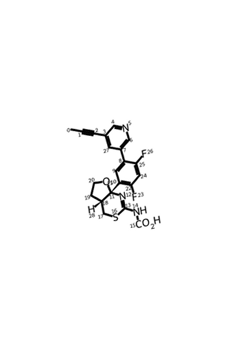 CC#Cc1cncc(-c2cc([C@@]34N=C(NC(=O)O)SC[C@@H]3CCO4)c(F)cc2F)c1